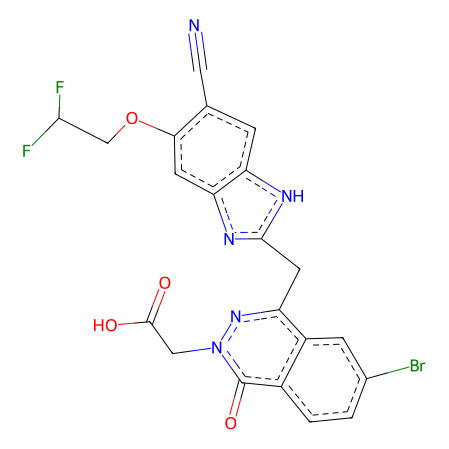 N#Cc1cc2[nH]c(Cc3nn(CC(=O)O)c(=O)c4ccc(Br)cc34)nc2cc1OCC(F)F